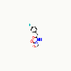 O=C(Cc1ccc(F)cc1)NN1CCOC1=O